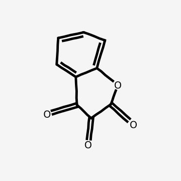 O=C1Oc2ccccc2C(=O)C1=O